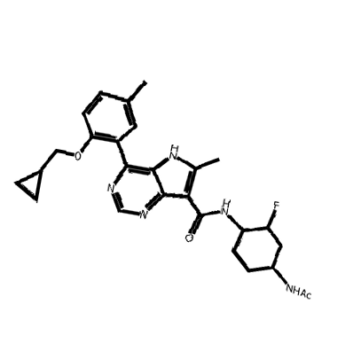 CC(=O)NC1CCC(NC(=O)c2c(C)[nH]c3c(-c4cc(C)ccc4OCC4CC4)ncnc23)C(F)C1